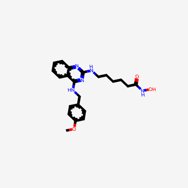 COc1ccc(CNc2nc(NCCCCCC(=O)NO)nc3ccccc23)cc1